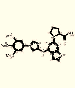 COc1cc(-n2cnc(Nc3nc(N4CCCC4C(N)=O)nc4sccc34)c2)cc(OC)c1OC